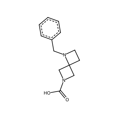 O=C(O)N1CC2(CCN2Cc2ccccc2)C1